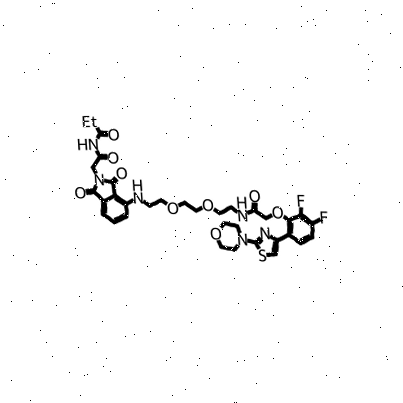 CCC(=O)NC(=O)CN1C(=O)c2cccc(NCCOCCOCCNC(=O)COc3c(-c4csc(N5CCOCC5)n4)ccc(F)c3F)c2C1=O